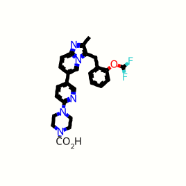 Cc1nc2ccc(-c3ccc(N4CCN(C(=O)O)CC4)nc3)cn2c1Cc1ccccc1OC(F)F